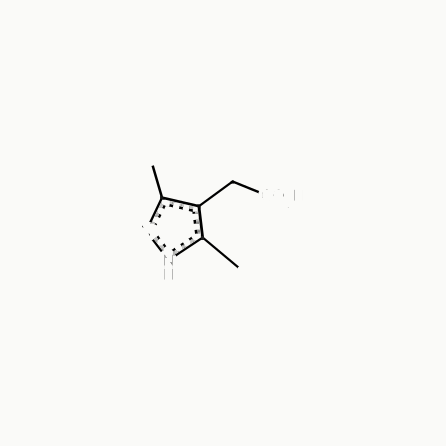 Cc1n[nH]c(C)c1CC(=O)O